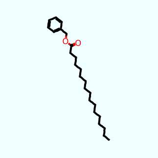 CCCCCCCCCCCCCCCCC(=O)OCc1ccccc1